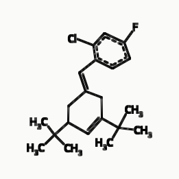 CC(C)(C)C1=CC(C(C)(C)C)CC(=Cc2ccc(F)cc2Cl)C1